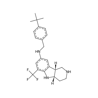 CC(C)(C)c1ccc(CNc2cc3c(c(C(F)(F)F)c2)N[C@H]2CCNC[C@@H]32)cc1